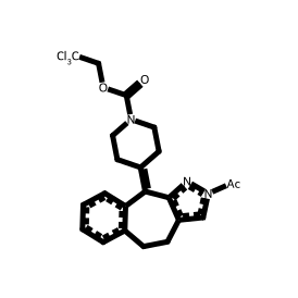 CC(=O)n1cc2c(n1)C(=C1CCN(C(=O)OCC(Cl)(Cl)Cl)CC1)c1ccccc1CC2